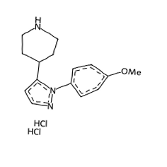 COc1ccc(-n2nccc2C2CCNCC2)cc1.Cl.Cl